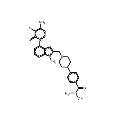 CN(C)C(=O)c1ccc(C2CCN(Cc3cc4c(-n5ccc(N)c(F)c5=O)ccnc4n3C)CC2)cc1